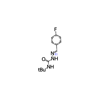 CC(C)(C)NC(=O)N/N=C/c1ccc(F)cc1